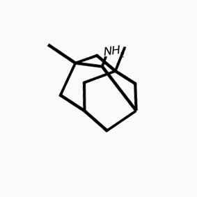 CC12CC3CC(C1)C(N)C(C)(C3)C2